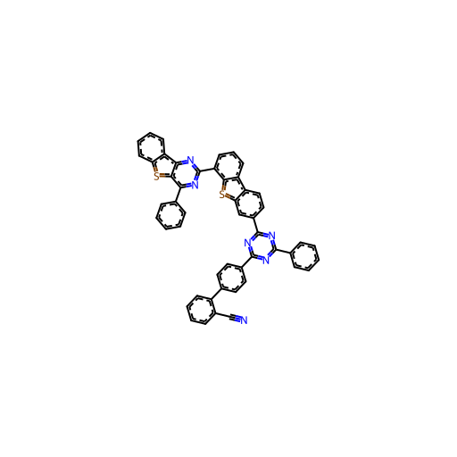 N#Cc1ccccc1-c1ccc(-c2nc(-c3ccccc3)nc(-c3ccc4c(c3)sc3c(-c5nc(-c6ccccc6)c6sc7ccccc7c6n5)cccc34)n2)cc1